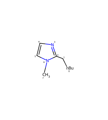 CCCCCc1nccn1C